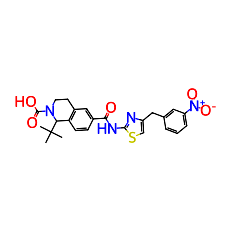 CC(C)(C)C1c2ccc(C(=O)Nc3nc(Cc4cccc([N+](=O)[O-])c4)cs3)cc2CCN1C(=O)O